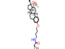 C#CC1(O)CC[C@H]2[C@@H]3CCc4cc(OCCCCNC(=O)C=C)ccc4[C@H]3CC[C@@]21C